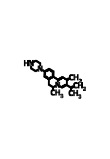 C=C(C)C1=CN2C(=CC1=C)c1ccc(N3CCNCC3)cc1CC2C